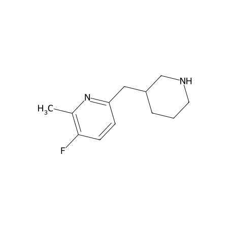 Cc1nc(CC2CCCNC2)ccc1F